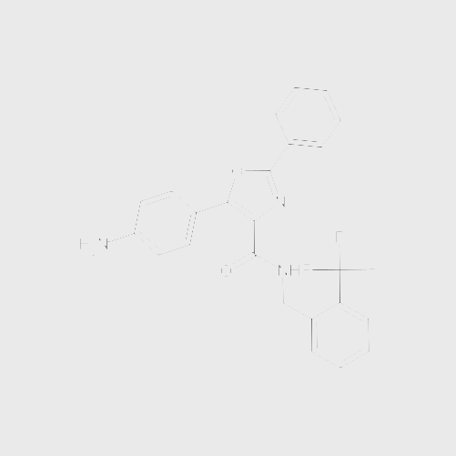 Nc1ccc(-c2oc(-c3ccccc3)nc2C(=O)NCc2ccccc2C(F)(F)F)cc1